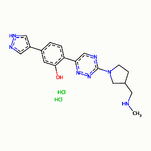 CNCC1CCN(c2ncc(-c3ccc(-c4cn[nH]c4)cc3O)nn2)C1.Cl.Cl